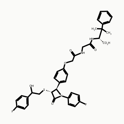 CC(C)(c1ccccc1)[C@@H](NC(=O)CNC(=O)COc1ccc([C@@H]2[C@@H](SCC(O)c3ccc(F)cc3)C(=O)N2c2ccc(F)cc2)cc1)C(=O)O